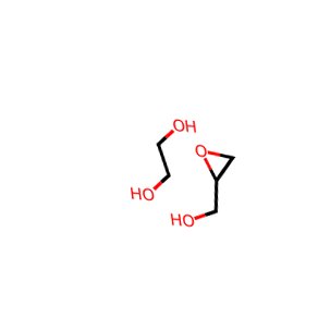 OCC1CO1.OCCO